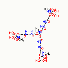 CCNC(COCCC(=O)NCCCNC(=O)CCCCO[C@@H]1OC(CO)[C@H](O)C(O)[C@@H]1NC(C)=O)(COCCC(=O)NCCCNC(=O)CCCCO[C@@H]1OC(CO)[C@H](O)C(O)[C@@H]1NC(C)=O)COCCC(=O)NCCCNC(=O)CCCCO[C@@H]1OC(CO)[C@H](O)C(O)[C@@H]1NC(C)=O